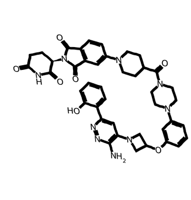 Nc1nnc(-c2ccccc2O)cc1N1CC(Oc2cccc(N3CCN(C(=O)C4CCN(c5ccc6c(c5)C(=O)N([C@@H]5CCC(=O)NC5=O)C6=O)CC4)CC3)c2)C1